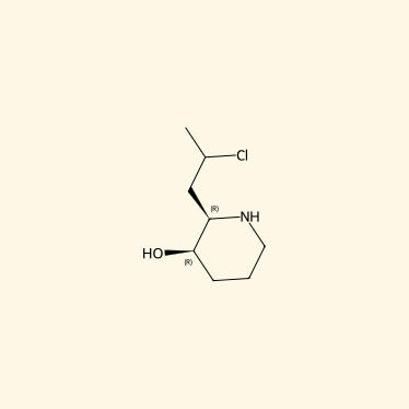 CC(Cl)C[C@H]1NCCC[C@H]1O